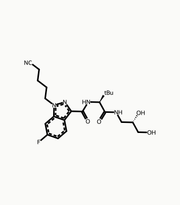 CC(C)(C)[C@H](NC(=O)c1nn(CCCCC#N)c2cc(F)ccc12)C(=O)NC[C@H](O)CO